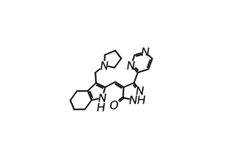 O=C1NN=C(c2ccncn2)C1=Cc1[nH]c2c(c1CN1CCCC1)CCCC2